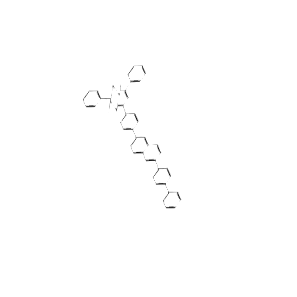 c1ccc(-c2ccc(-c3ccc4cc(-c5ccc(-c6cc(-c7ccccc7)nc(-c7ccccc7)n6)cc5)ccc4c3)cc2)cc1